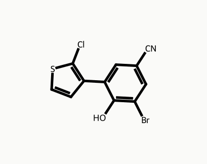 N#Cc1cc(Br)c(O)c(-c2ccsc2Cl)c1